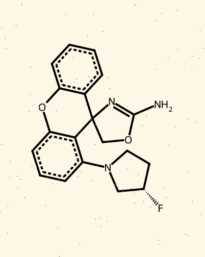 NC1=NC2(CO1)c1ccccc1Oc1cccc(N3CC[C@H](F)C3)c12